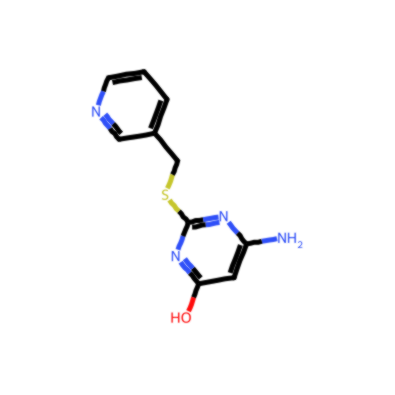 Nc1cc(O)nc(SCc2cccnc2)n1